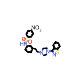 O=[N+]([O-])c1ccc(S(=O)(=O)Nc2cccc(CCN3CCN(c4nsc5ccccc45)CC3)c2)cc1